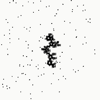 N=C([O-])c1ccc[n+](C2OC(COP(=O)(O)OP(=O)([O-])OCC3OC(n4cnc5c(N)ncnc54)C(OP(=O)([O-])O)C3O)C(O)C2O)c1.[Na+].[Na+]